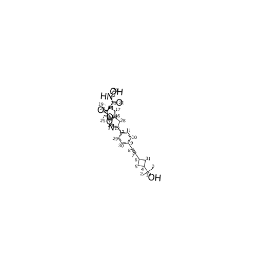 CC(C)(O)C1CC(C#Cc2ccc(C3=NO[C@@H](C[C@](C)(C(=O)NO)S(C)(=O)=O)C3)cc2)C1